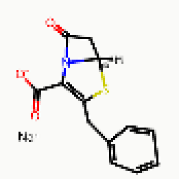 O=C([O-])C1=C(Cc2ccccc2)S[C@H]2CC(=O)N12.[Na+]